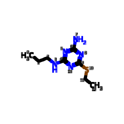 CCCNc1nc(N)nc(SCC)n1